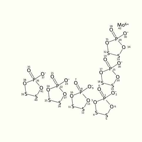 O=P1([O-])OSSO1.O=P1([O-])OSSO1.O=P1([O-])OSSO1.O=P1([O-])OSSO1.O=P1([O-])OSSO1.O=P1([O-])OSSO1.[Mo+6]